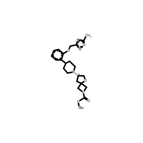 Cc1nc(COc2ccccc2C2CCN([C@@H]3COC4(C3)CN(C(=O)OC(C)(C)C)C4)CC2)no1